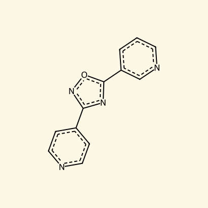 c1cncc(-c2nc(-c3ccncc3)no2)c1